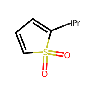 CC(C)C1=CC=CS1(=O)=O